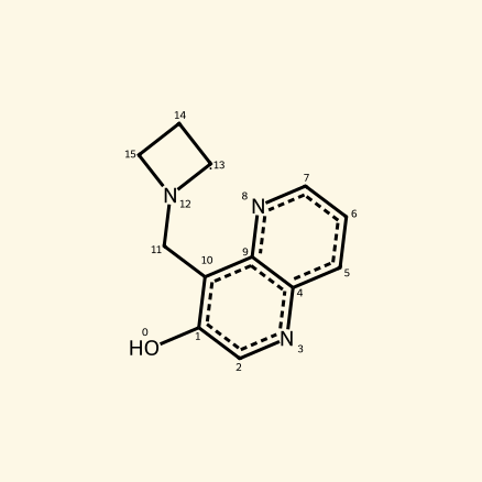 Oc1cnc2cccnc2c1CN1[CH]CC1